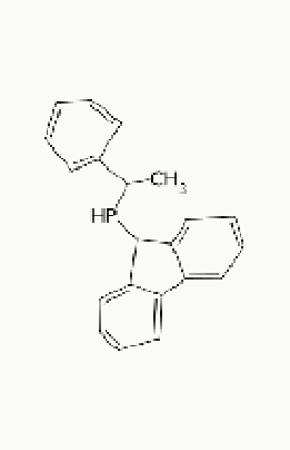 CC(PC1c2ccccc2-c2ccccc21)c1ccccc1